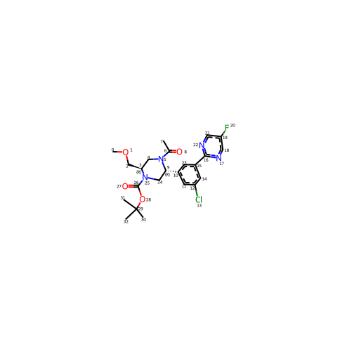 COC[C@H]1CN(C(C)=O)[C@H](c2cc(Cl)cc(-c3ncc(F)cn3)c2)CN1C(=O)OC(C)(C)C